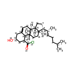 CC(C)CCC[C@@H](C)[C@H]1CC[C@H]2[C@@H]3CC=C4C[C@@H](O)CC(C(=O)Cl)[C@]4(C)[C@H]3CC[C@]12C